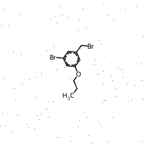 CCCOc1cc(Br)cc(CBr)c1